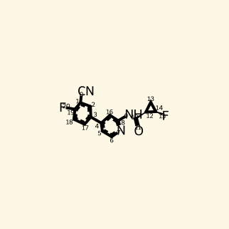 N#Cc1cc(-c2ccnc(NC(=O)[C@H]3C[C@H]3F)c2)ccc1F